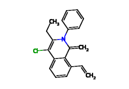 C=Cc1cccc2c1C(=C)N(c1ccccc1)C(CC)=C2Cl